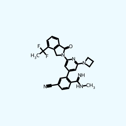 CNC(=N)c1ccc(C#N)cc1-c1cc(N2CCC2)nc(N2Cc3c(cccc3C(C)(F)F)C2=O)c1